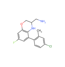 Cc1cc(Cl)ccc1-c1cc(F)cc2c1NC(CN)CO2